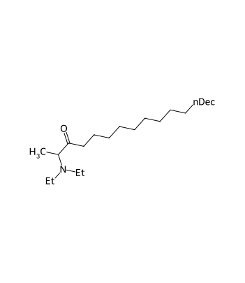 CCCCCCCCCCCCCCCCCCCC(=O)C(C)N(CC)CC